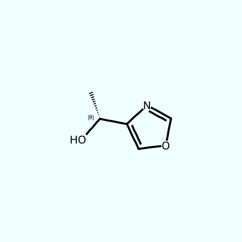 C[C@@H](O)c1cocn1